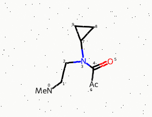 CNCCN(C(=O)C(C)=O)C1CC1